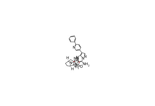 CS(=O)(=O)c1c([C@H]2C[C@H]3CC[C@@H](C2)N3c2nnc[nH]2)nc2c(-c3ccc(-c4ccccc4)nc3)cnn2c1N